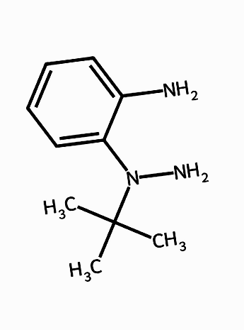 CC(C)(C)N(N)c1ccccc1N